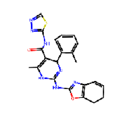 CC1=C(C(=O)Nc2nncs2)C(c2ccccc2C)N=C(Nc2nc3c(o2)CCC=C3)N1